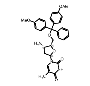 COc1ccc(C(OC[C@H]2O[C@@H](n3cc(C)c(=O)[nH]c3=O)C[C@@H]2N)(c2ccccc2)c2ccc(OC)cc2)cc1